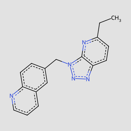 CCc1ccc2nnn(Cc3ccc4ncccc4c3)c2n1